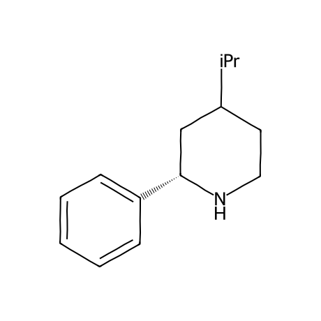 CC(C)C1CCN[C@H](c2ccccc2)C1